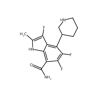 Cc1[nH]c2c(C(N)=O)c(F)c(F)c(C3CCCNC3)c2c1F